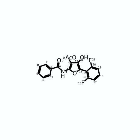 CC(=O)Oc1c(NC(=O)c2ccccc2)oc(-c2c(F)cccc2F)c1O